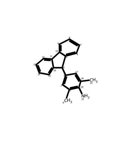 Cc1cc(C2c3ccccc3-c3ccccc32)cc(C)c1N